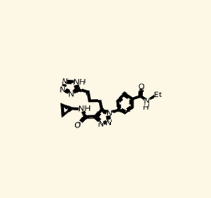 CCNC(=O)c1ccc(-n2nnc(C(=O)NC3CC3)c2CCCc2nnn[nH]2)cc1